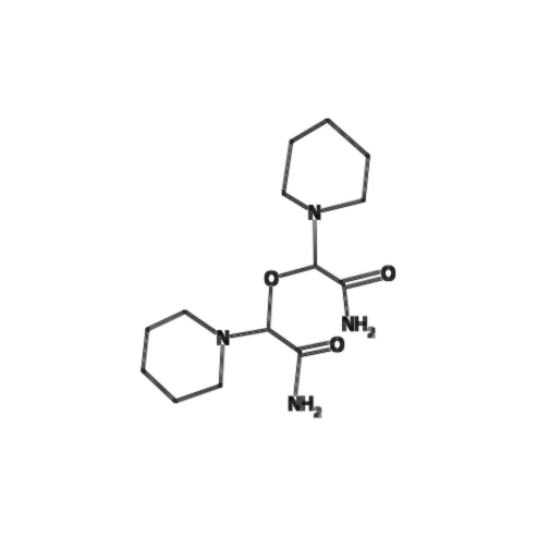 NC(=O)C(OC(C(N)=O)N1CCCCC1)N1CCCCC1